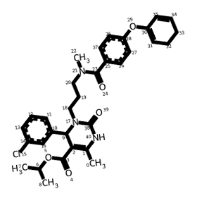 CC1=C(C(=O)OC(C)C)C(c2cccc(Cl)c2)N(CCCN(C)C(=O)c2ccc(OC3=CCCC=C3)cc2)C(=O)N1